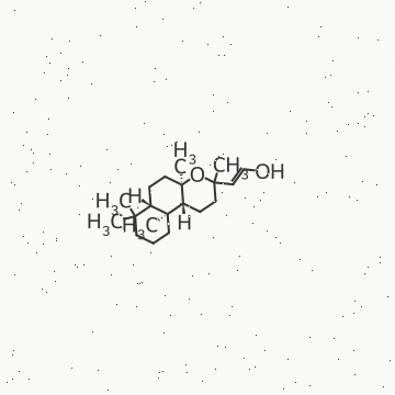 CC1(/C=C/O)CC[C@@H]2[C@@]3(C)CCCC(C)(C)[C@@H]3CC[C@@]2(C)O1